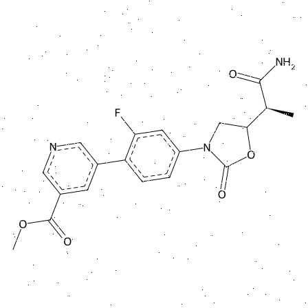 COC(=O)c1cncc(-c2ccc(N3CC([C@H](C)C(N)=O)OC3=O)cc2F)c1